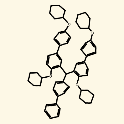 c1ccc(-c2ccc(C(c3cc(-c4ccc(OC5CCCCC5)cc4)ccc3OC3CCCCC3)c3cc(-c4ccc(OC5CCCCC5)cc4)ccc3OC3CCCCC3)cc2)cc1